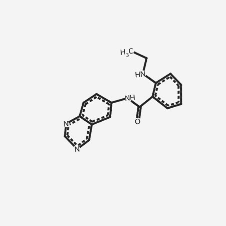 CCNc1ccccc1C(=O)Nc1ccc2ncncc2c1